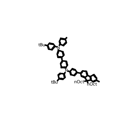 CCCCCCCCC1(CCCCCCCC)c2cc(C)ccc2-c2ccc(-c3ccc(N(c4ccc(-c5ccc(N(c6ccc(C)cc6)c6ccc(C(C)(C)C)cc6)cc5)cc4)c4ccc(C(C)(C)C)cc4)cc3)cc21